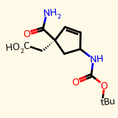 CC(C)(C)OC(=O)NC1C=C[C@](CC(=O)O)(C(N)=O)C1